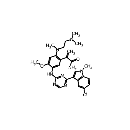 C=C(C(N)=O)c1cc(Nc2ncnc(-c3cn(C)c4ccc(Cl)cc34)n2)c(OC)cc1N(C)CCN(C)C